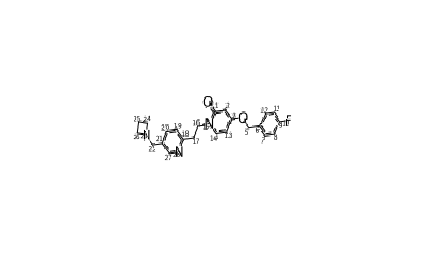 O=c1cc(OCc2ccc(F)cc2)ccn1CCc1ccc(CN2CCC2)cn1